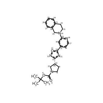 CC(C)(C)OC(=O)N1CC[C@@H](c2noc(-c3ccnc(N4CCc5ccccc5C4)c3)n2)C1